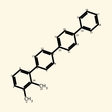 Cc1cccc(-c2ccc(-c3ccc(-c4ccccc4)cc3)cc2)c1C